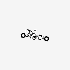 CC(C)C[C@H](NC(=O)N1CCN(c2ccccc2)CC1)C(=O)OCc1ccccc1